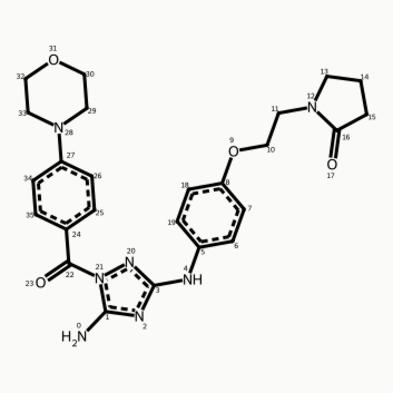 Nc1nc(Nc2ccc(OCCN3CCCC3=O)cc2)nn1C(=O)c1ccc(N2CCOCC2)cc1